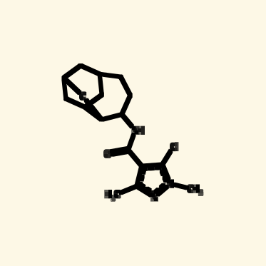 Cc1nn(C)c(Cl)c1C(=O)NC1CCC2CC3CC(C2)C1C3